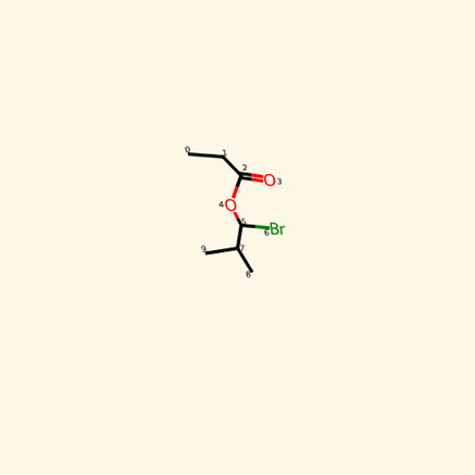 CCC(=O)OC(Br)C(C)C